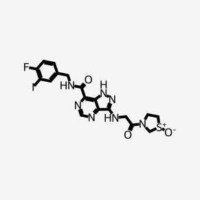 O=C(NCc1ccc(F)c(I)c1)c1ncnc2c(NCC(=O)N3CC[S+]([O-])C3)n[nH]c12